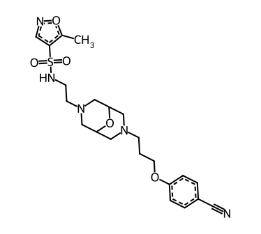 Cc1oncc1S(=O)(=O)NCCN1CC2CN(CCCOc3ccc(C#N)cc3)CC(C1)O2